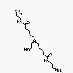 NCCNC(=O)CCCCN(CCO)CCCCC(=O)NCCN